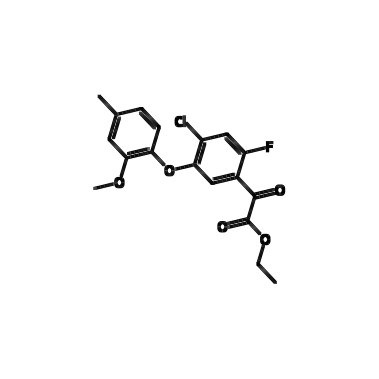 CCOC(=O)C(=O)c1cc(Oc2ccc(C)cc2OC)c(Cl)cc1F